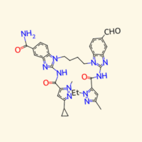 CCn1nc(C)cc1C(=O)Nc1nc2cc(C=O)ccc2n1CCCCn1c(NC(=O)c2cc(C3CC3)nn2C)nc2cc(C(N)=O)ccc21